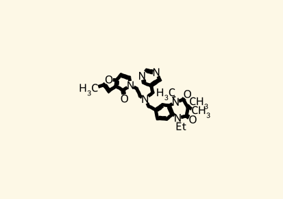 CCN1C(=O)C(C)(C)C(=O)N(C)c2cc(CN(CCn3ccc4oc(C)cc4c3=O)Cc3cncnc3)ccc21